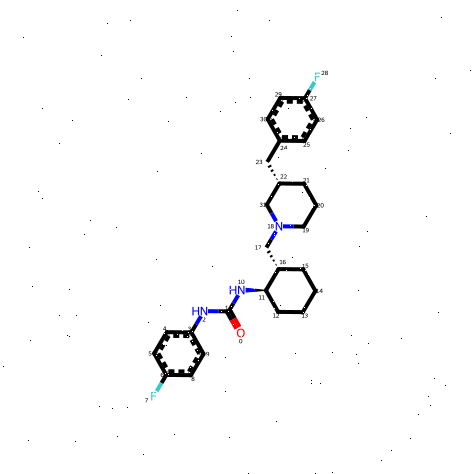 O=C(Nc1ccc(F)cc1)N[C@@H]1CCCC[C@H]1CN1CCC[C@@H](Cc2ccc(F)cc2)C1